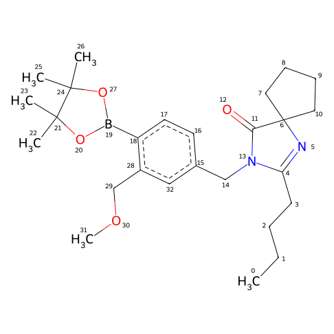 CCCCC1=NC2(CCCC2)C(=O)N1Cc1ccc(B2OC(C)(C)C(C)(C)O2)c(COC)c1